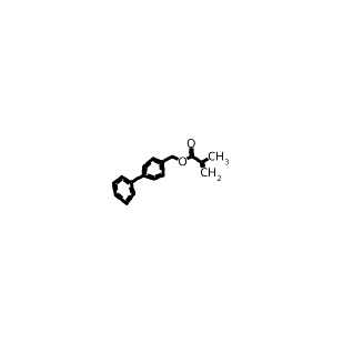 C=C(C)C(=O)OCc1ccc(-c2ccccc2)cc1